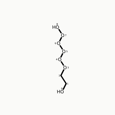 OCCOOOOOO